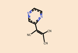 N#CC(C#N)=C(C#N)c1cnccn1